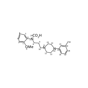 COc1ccccc1N(CCCN1CCN(c2cccc(C)c2)CC1)C(=O)O